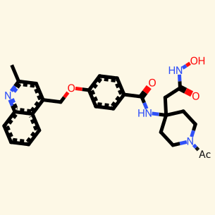 CC(=O)N1CCC(CC(=O)NO)(NC(=O)c2ccc(OCc3cc(C)nc4ccccc34)cc2)CC1